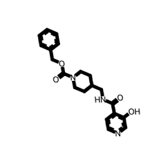 O=C(NCC1CCN(C(=O)OCc2ccccc2)CC1)c1ccncc1O